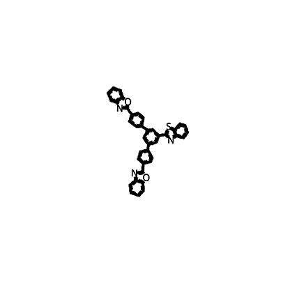 c1ccc2oc(-c3ccc(-c4cc(-c5ccc(-c6nc7ccccc7o6)cc5)cc(-c5nc6ccccc6s5)c4)cc3)nc2c1